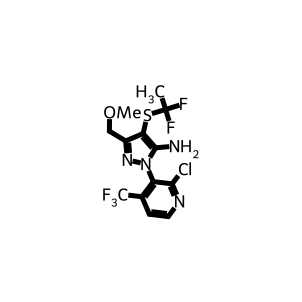 COCc1nn(-c2c(C(F)(F)F)ccnc2Cl)c(N)c1SC(C)(F)F